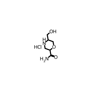 Cl.NC(=O)C1CNC(CO)CO1